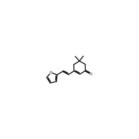 CC1(C)CC(=O)C=C(C=Cc2ccco2)C1